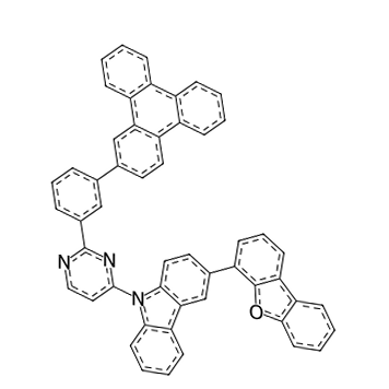 c1cc(-c2ccc3c4ccccc4c4ccccc4c3c2)cc(-c2nccc(-n3c4ccccc4c4cc(-c5cccc6c5oc5ccccc56)ccc43)n2)c1